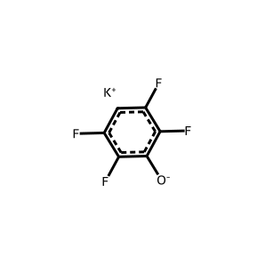 [K+].[O-]c1c(F)c(F)cc(F)c1F